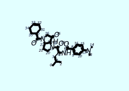 CC(C)C[C@H](NC(=O)c1ccc(N(C)C)cc1)C(=O)N1CCC2[C@H]1C(=O)CN2C(=O)C1CC=CCC1